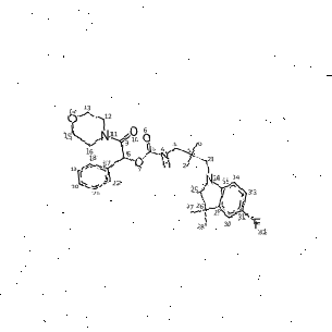 CC(C)(CNC(=O)OC(C(=O)N1CCOCC1)c1ccccc1)CN1CC(C)(C)c2cc(F)ccc21